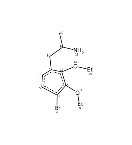 CCOc1c(Br)ccc(CC(C)N)c1OCC